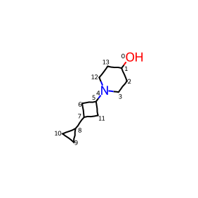 OC1CCN(C2CC(C3CC3)C2)CC1